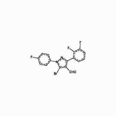 O=Cc1c(-c2cccc(F)c2F)nn(-c2ccc(F)cc2)c1Br